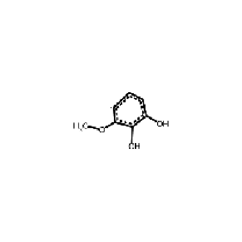 COc1[c]ccc(O)c1O